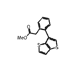 COC(=O)Cc1ccccc1-c1csc2ccsc12